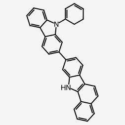 C1=CCCC(n2c3ccccc3c3ccc(-c4ccc5c(c4)[nH]c4c6ccccc6ccc54)cc32)=C1